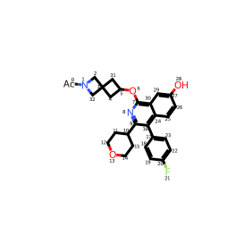 CC(=O)N1CC2(CC(Oc3nc(C4CCOCC4)c(-c4ccc(F)cc4)c4ccc(O)cc34)C2)C1